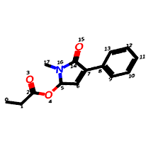 CCC(=O)OC1C=C(c2ccccc2)C(=O)N1C